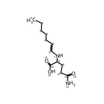 CCCCCC=CNC(CCC(N)=O)C(=O)O